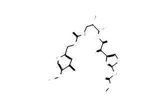 CCCCOc1c[nH]c(CNC(=O)NC[C@@H](C)[C@H](NC(=O)C(=N)c2csc(NC(=O)OC(C)(C)C)n2)C(C)=O)cc1=O